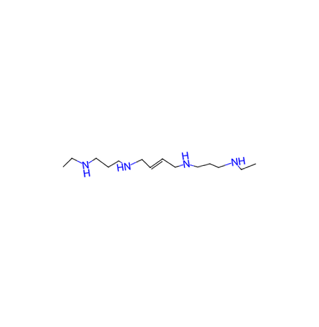 CCNCCCNCC=CCNCCCNCC